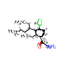 CCCC(CC)c1c(Cl)ccc(C(N)=O)c1CC